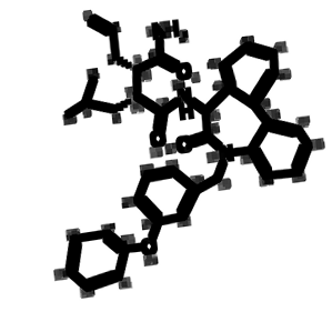 C=CC[C@H](C(N)=O)[C@@H](CC(C)C)C(=O)NC1C(=O)N(Cc2cccc(Oc3ccccc3)c2)c2ccccc2-c2ccccc21